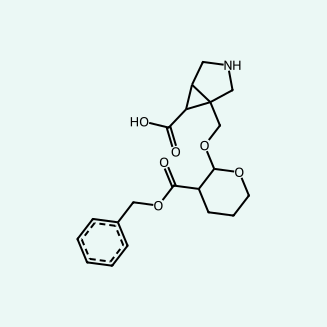 O=C(OCc1ccccc1)C1CCCOC1OCC12CNCC1C2C(=O)O